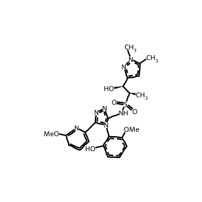 COC1=NC(c2nnc(NS(=O)(=O)[C@H](C)[C@@H](O)c3cc(C)n(C)n3)n2-c2c(O)cccc2OC)=C=C=C1